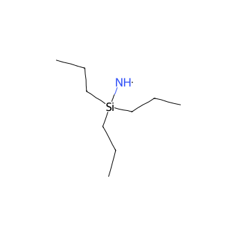 CCC[Si]([NH])(CCC)CCC